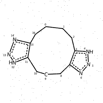 C1CCc2[nH]nnc2CCCc2[nH]nnc2C1